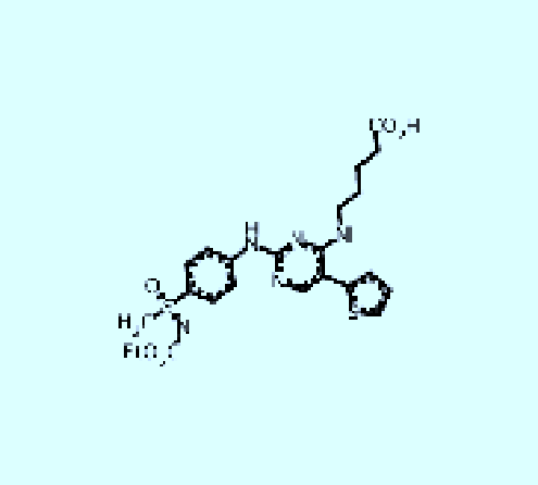 CCOC(=O)N=S(C)(=O)c1ccc(Nc2ncc(-c3cccs3)c(NCCCCC(=O)O)n2)cc1